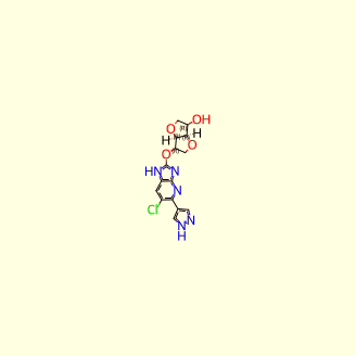 O[C@@H]1CO[C@H]2[C@@H]1OC[C@H]2Oc1nc2nc(-c3cn[nH]c3)c(Cl)cc2[nH]1